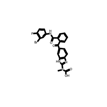 CN(C(=O)O)c1nc2ccc(C(=O)c3ccccc3C(=O)Nc3ccc(F)c(Br)c3)cc2[nH]1